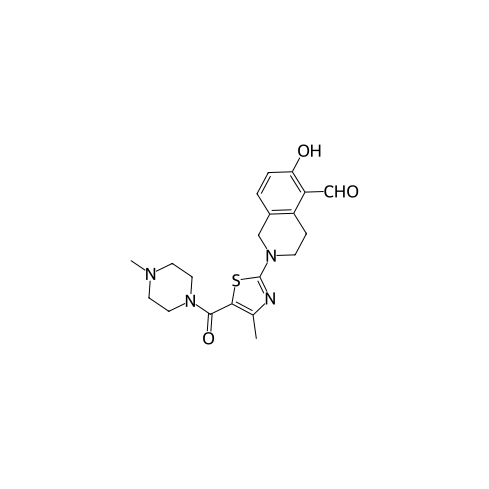 Cc1nc(N2CCc3c(ccc(O)c3C=O)C2)sc1C(=O)N1CCN(C)CC1